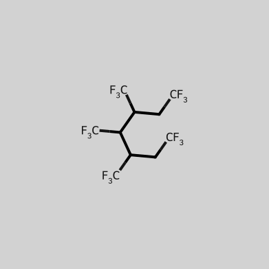 FC(F)(F)CC(C(C(CC(F)(F)F)C(F)(F)F)C(F)(F)F)C(F)(F)F